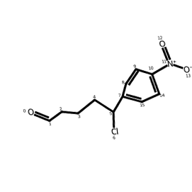 O=CCCCC(Cl)c1ccc([N+](=O)[O-])cc1